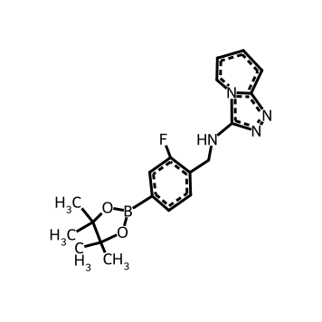 CC1(C)OB(c2ccc(CNc3nnc4ccccn34)c(F)c2)OC1(C)C